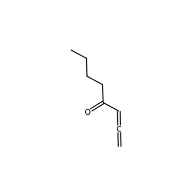 C=C=CC(=O)CCCC